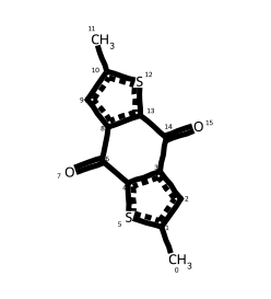 Cc1cc2c(s1)C(=O)c1cc(C)sc1C2=O